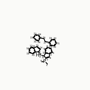 CP(C)C1=Cc2ccccc2[CH]1[Hf][CH]1C=Cc2ccccc21.c1ccc(CCc2ccccc2)cc1